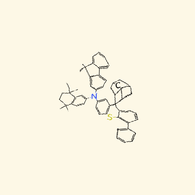 CC1(C)CCC(C)(C)c2cc(N(c3ccc4c(c3)C(C)(C)c3ccccc3-4)c3ccc4c(c3)C3(c5cccc(-c6ccccc6)c5S4)C4CC5CC6CC3C64C5)ccc21